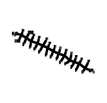 OC(F)(C(F)(F)F)C(O)(F)C(F)(F)C(F)(F)C(F)(F)C(F)(F)C(F)(F)C(F)(F)C(F)(F)C(F)(F)C(F)(F)C(F)(F)C(F)(F)C(F)(F)F